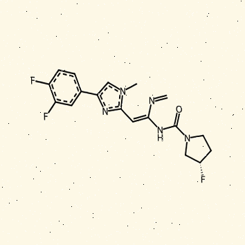 C=N/C(=C\c1nc(-c2ccc(F)c(F)c2)cn1C)NC(=O)N1CC[C@H](F)C1